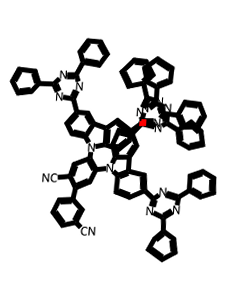 N#Cc1cccc(-c2cc(-n3c4ccc(-c5nc(-c6ccccc6)nc(-c6ccccc6)n5)cc4c4cc(-c5nc(-c6ccccc6)nc(-c6ccccc6)n5)ccc43)c(-n3c4ccc(-c5nc(-c6ccccc6)nc(-c6ccccc6)n5)cc4c4cc(-c5nc(-c6ccccc6)nc(-c6ccccc6)n5)ccc43)cc2C#N)c1